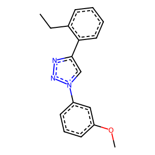 CCc1ccccc1-c1cn(-c2cccc(OC)c2)nn1